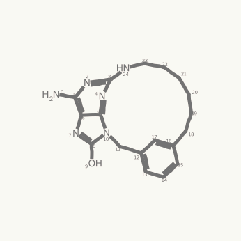 Nc1nc2nc3c1nc(O)n3Cc1cccc(c1)CCCCCCN2